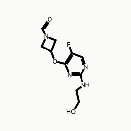 O=CN1CC(Oc2nc(NCCO)ncc2F)C1